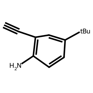 C#Cc1cc(C(C)(C)C)ccc1N